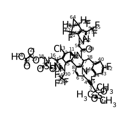 CC(C)(C#Cc1ccc(-c2ccc(Cl)c3c(CN(COC(=O)C(=O)O)[SH](=O)=O)nn(CC(F)(F)F)c23)c(C(Cc2cc(F)cc(F)c2)NC(=O)Cn2nc(C(F)(F)F)c3c2C(F)(F)[C@@H]2C[C@H]32)n1)S(C)(=O)=O